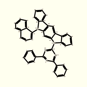 c1ccc(-c2nc(-c3ccccc3)nc(-n3c4ccccc4c4cc5c6ccccc6n(-c6cccc7ccccc67)c5cc43)n2)cc1